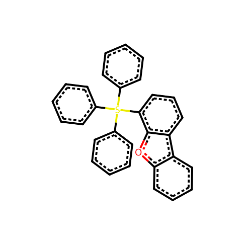 c1ccc(S(c2ccccc2)(c2ccccc2)c2cccc3c2oc2ccccc23)cc1